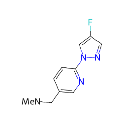 CNCc1ccc(-n2cc(F)cn2)nc1